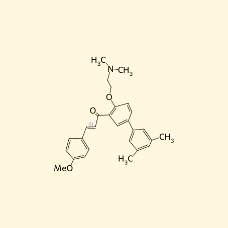 COc1ccc(/C=C/C(=O)c2cc(-c3cc(C)cc(C)c3)ccc2OCCN(C)C)cc1